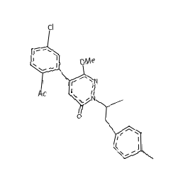 COc1nn(C(C)Cc2ccc(C)cc2)c(=O)cc1-c1cc(Cl)ccc1C(C)=O